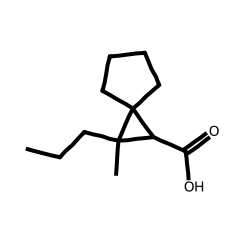 CCCC1(C)C(C(=O)O)C12CCCC2